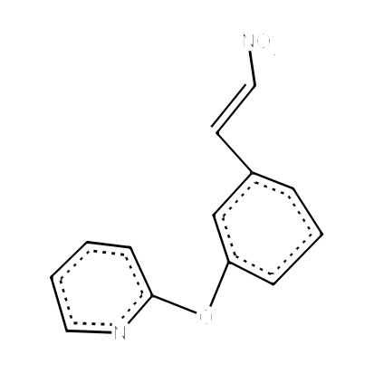 O=[N+]([O-])C=Cc1cccc(Oc2ccccn2)c1